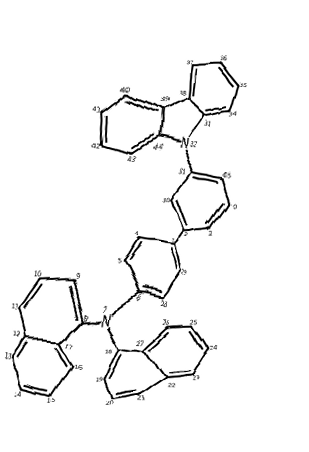 c1cc(-c2ccc(N(c3cccc4ccccc34)c3cccc4ccccc34)cc2)cc(-n2c3ccccc3c3ccccc32)c1